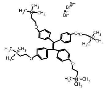 C[N+](C)(C)CCOc1ccc(C(=C(c2ccc(OCC[N+](C)(C)C)cc2)c2ccc(OCC[N+](C)(C)C)cc2)c2ccc(OCC[N+](C)(C)C)cc2)cc1.[Br-].[Br-].[Br-].[Br-]